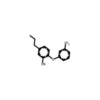 N#Cc1cc(CCI)ccc1Oc1cccc(C(F)(F)F)c1